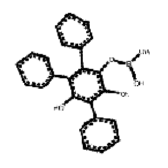 OB(O)Oc1c(O)c(-c2ccccc2)c(O)c(-c2ccccc2)c1-c1ccccc1